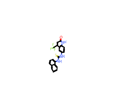 O=c1cc(C(F)(F)F)c2cc(NC(=S)Nc3cccc4ccccc34)ccc2[nH]1